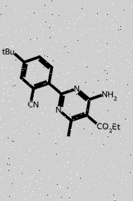 CCOC(=O)c1c(C)nc(-c2ccc(C(C)(C)C)cc2C#N)nc1N